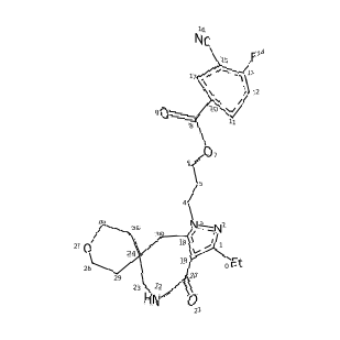 CCc1nn(CCCOC(=O)c2ccc(F)c(C#N)c2)c2c1C(=O)NCC1(CCOCC1)C2